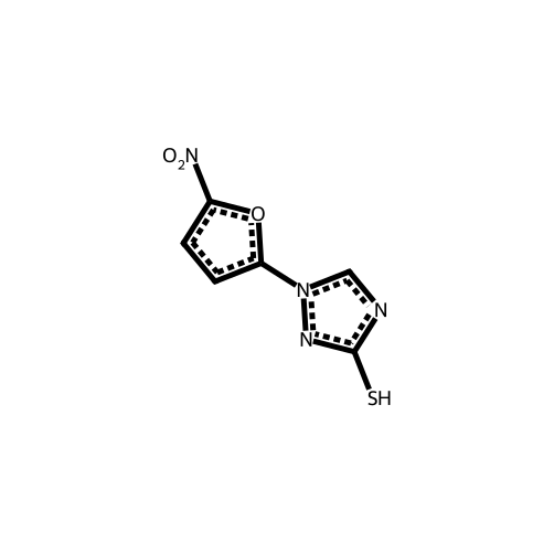 O=[N+]([O-])c1ccc(-n2cnc(S)n2)o1